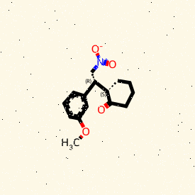 COc1cccc([C@H](C[N+](=O)[O-])[C@@H]2CCCCC2=O)c1